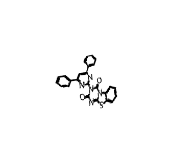 O=c1nc2sc3ccccc3n2c(=O)n1-c1nc(-c2ccccc2)cc(-c2ccccc2)n1